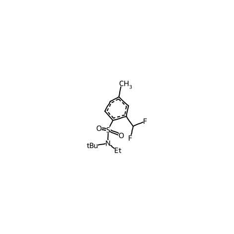 CCN(C(C)(C)C)S(=O)(=O)c1ccc(C)cc1C(F)F